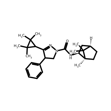 CC1(C)C(C2=NN(C(=O)N[C@H]3C[C@H]4CC[C@]3(C)C4(C)C)CC2c2ccccc2)C1(C)C